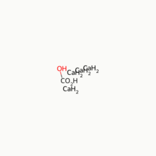 O=C(O)O.[CaH2].[CaH2].[CaH2].[CaH2]